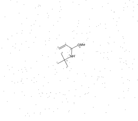 C=CC(NC(C)(C)C)OC